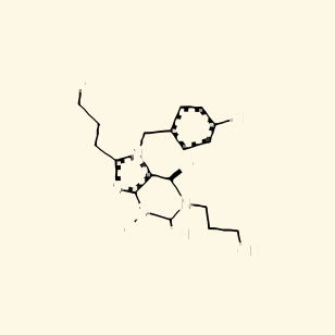 CN1c2nc(CCCO)n(Cc3ccc(Cl)cc3)c2C(=O)N(CCCO)C1O